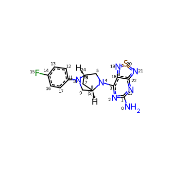 Nc1nc(N2C[C@@H]3C[C@H]2CN3c2ccc(F)cc2)c2nsnc2n1